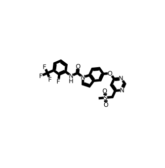 CS(=O)(=O)Cc1cc(Oc2ccc3c(ccn3C(=O)Nc3cccc(C(F)(F)F)c3F)c2)ncn1